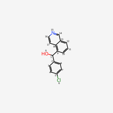 OC(c1ccc(Cl)cc1)c1cccc2cnccc12